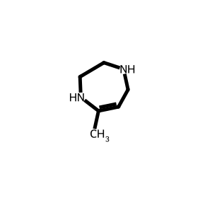 CC1=CCNCCN1